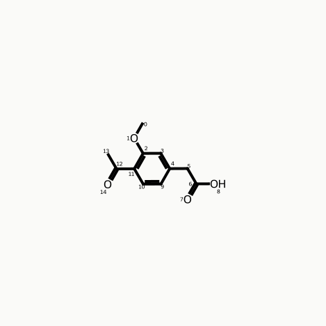 COc1cc(CC(=O)O)ccc1C(C)=O